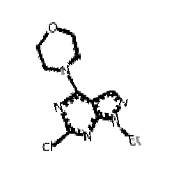 CCn1ncc2c(N3CCOCC3)nc(Cl)nc21